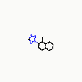 [CH2]c1c(-n2ncnn2)ccc2ccccc12